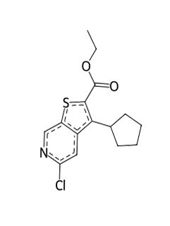 CCOC(=O)c1sc2cnc(Cl)cc2c1C1CCCC1